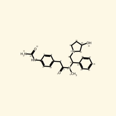 CN(C(=O)Cc1ccc(NC(N)=O)cc1)C(CN1CCC(O)C1)c1ccccc1